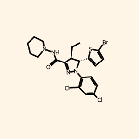 CC[C@@H]1C(C(=O)NN2CCCCC2)=NN(c2ccc(Cl)cc2Cl)[C@H]1c1ccc(Br)s1